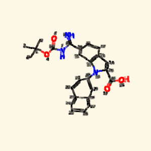 CC(C)(C)OC(=O)NC(=N)c1ccc2cc(C(=O)O)n(-c3ccc4ccccc4c3)c2c1